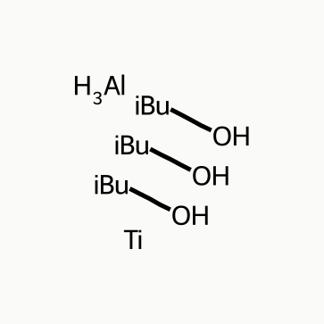 CCC(C)O.CCC(C)O.CCC(C)O.[AlH3].[Ti]